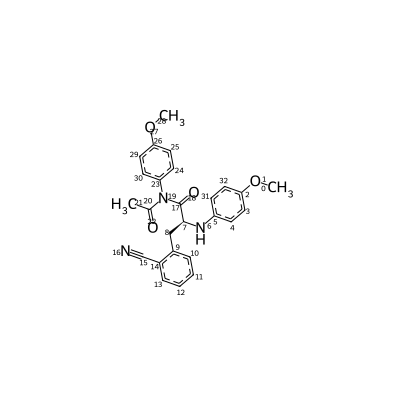 COc1ccc(N[C@@H](Cc2ccccc2C#N)C(=O)N(C(C)=O)c2ccc(OC)cc2)cc1